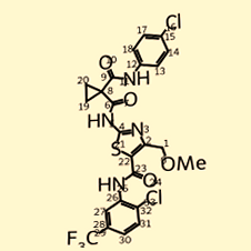 COCc1nc(NC(=O)C2(C(=O)Nc3ccc(Cl)cc3)CC2)sc1C(=O)Nc1cc(C(F)(F)F)ccc1Cl